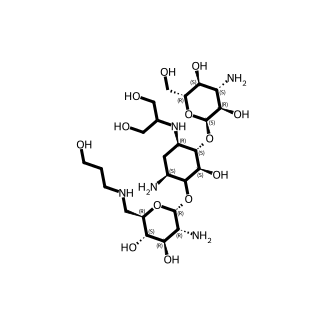 N[C@@H]1[C@@H](O)[C@@H](O[C@H]2[C@H](NC(CO)CO)C[C@H](N)C(O[C@H]3O[C@H](CNCCCO)[C@@H](O)[C@H](O)[C@H]3N)[C@@H]2O)O[C@H](CO)[C@H]1O